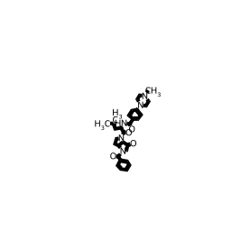 CC(C)CC(NC(=O)c1ccc(N2CCN(C)CC2)cc1)C(=O)N1CCC2C1C(=O)CN2C(=O)c1ccccc1